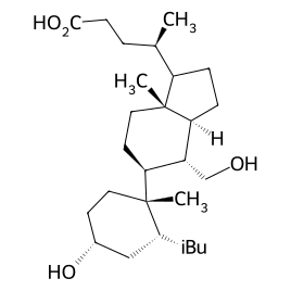 CC[C@@H](C)[C@@H]1C[C@H](O)CC[C@]1(C)[C@H]1CC[C@]2(C)C([C@H](C)CCC(=O)O)CC[C@H]2[C@@H]1CO